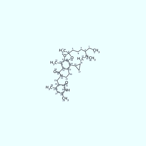 CCC(CCCC1(C)Oc2c(C)c3c(c(C4CC4)c2O1)CCN(Cc1c(C)cc(C)[nH]c1=O)C3=O)N(C)C